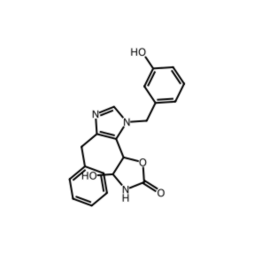 O=C1NC(O)C(c2c(Cc3ccccc3)ncn2Cc2cccc(O)c2)O1